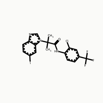 CC(C)(C(=O)Nc1ccc(C(F)(F)F)cc1Cl)n1cnc2ccc(I)cc21